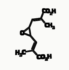 CC(=CC1OC1C=C(C)C(=O)O)C(=O)O